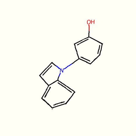 Oc1cccc(-n2ccc3c[c]ccc32)c1